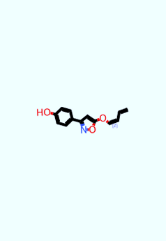 C=C/C=C\Oc1cc(-c2ccc(O)cc2)no1